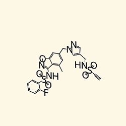 C#CS(=O)(=O)NCc1cnn(Cc2cc(C)c3c(NS(=O)(=O)c4ccccc4F)noc3c2)c1